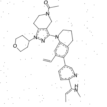 C=Cc1cc2c(cc1-c1ccc(C(=CC)NC)nc1)CCCN2c1nn(C2CCOCC2)c2c1CN(C(C)=O)CC2